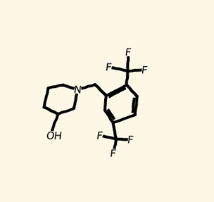 OC1CCCN(Cc2cc(C(F)(F)F)ccc2C(F)(F)F)C1